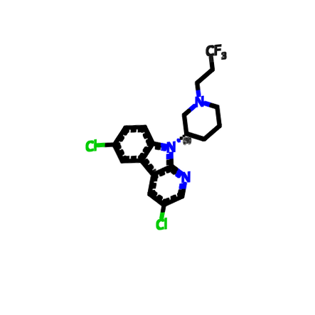 FC(F)(F)CCN1CCC[C@H](n2c3ccc(Cl)cc3c3cc(Cl)cnc32)C1